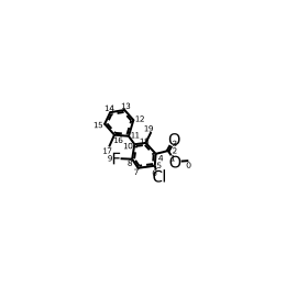 COC(=O)c1c(Cl)cc(F)c(-c2ccccc2C)c1C